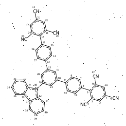 N#Cc1cc(C#N)c(-c2ccc(-c3cc(-c4ccc(-c5c(C#N)cc(C#N)cc5C#N)cc4)cc(-n4c5ccccc5c5cnccc54)c3)cc2)c(C#N)c1